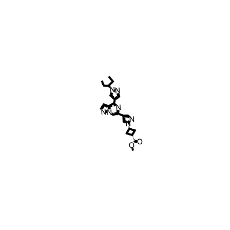 CCC(CC)n1cc(-c2nc(-c3cnn([C@H]4C[C@@H](C(=O)OC)C4)c3)cn3nccc23)cn1